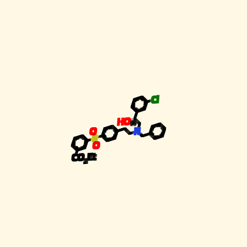 CCOC(=O)c1cccc(S(=O)(=O)c2ccc(CCN(Cc3ccccc3)C[C@H](O)c3cccc(Cl)c3)cc2)c1